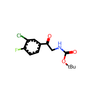 CC(C)(C)OC(=O)NCC(=O)c1ccc(F)c(Cl)c1